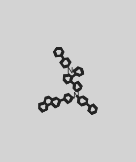 c1ccc(-c2ccc(N(c3ccc(-c4ccc5c(ccc6ccccc65)c4)cc3)c3cccc(-c4cccc5c4c4ccccc4n5-c4ccc(-c5ccccc5)cc4)c3)cc2)cc1